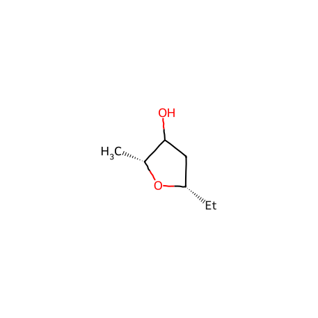 CC[C@H]1CC(O)[C@@H](C)O1